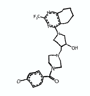 O=C(c1ccc(Cl)cc1)N1CCN(C2CN(c3nc(C(F)(F)F)nc4c3CCCC4)CC2O)CC1